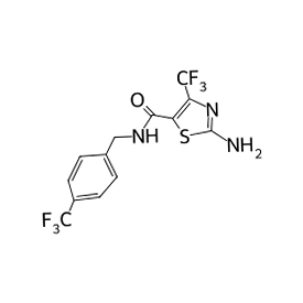 Nc1nc(C(F)(F)F)c(C(=O)NCc2ccc(C(F)(F)F)cc2)s1